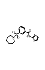 O=C(Nc1nccs1)c1cccc(S(=O)(=O)N2CCCCCC2)c1